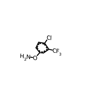 NOc1ccc(Cl)c(C(F)(F)F)c1